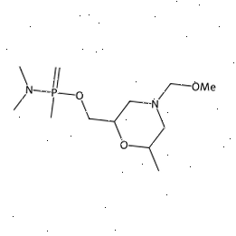 C=P(C)(OCC1CN(COC)CC(C)O1)N(C)C